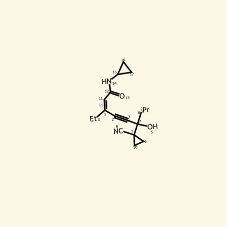 CC/C(C#CC(O)(C(C)C)C1(C#N)CC1)=C/C(=O)NC1CC1